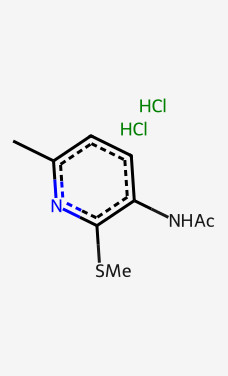 CSc1nc(C)ccc1NC(C)=O.Cl.Cl